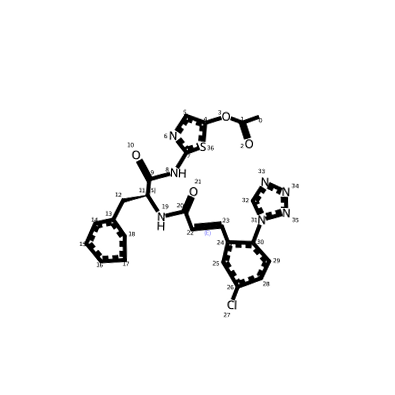 CC(=O)Oc1cnc(NC(=O)[C@H](Cc2ccccc2)NC(=O)/C=C/c2cc(Cl)ccc2-n2cnnn2)s1